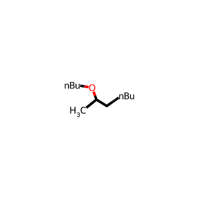 CCCCCC(C)OCCCC